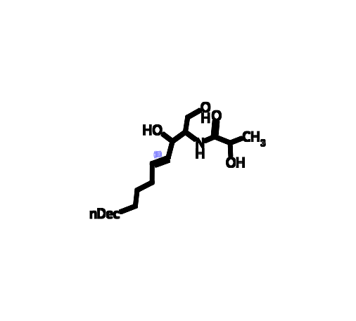 CCCCCCCCCCCCC/C=C/C(O)C(CO)NC(=O)C(C)O